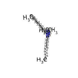 CCCCCCCCCCCCCCCCCN1C=CN(C(C)C)C1CCCCCCCCCCCCCCC